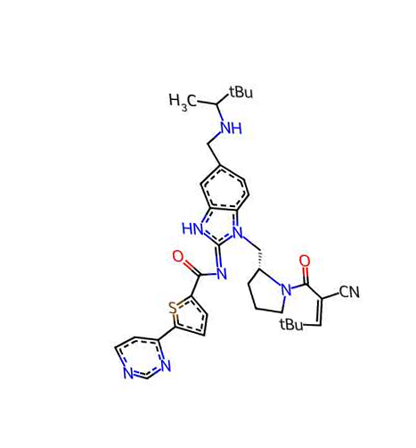 CC(NCc1ccc2c(c1)[nH]c(=NC(=O)c1ccc(-c3ccncn3)s1)n2C[C@H]1CCCN1C(=O)C(C#N)=CC(C)(C)C)C(C)(C)C